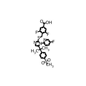 CC(C)(c1ccc(S(C)(=O)=O)cc1)c1cnc(SCc2c(F)cc(C(=O)O)cc2F)n1-c1ccc(F)cn1